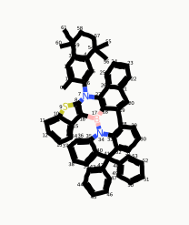 Cc1cc2c(cc1N1c3sc4ccccc4c3B3c4c(cc5ccccc5c41)-c1cccc4c1N3c1ccccc1C4(c1ccccc1)c1ccccc1)C(C)(C)CCC2(C)C